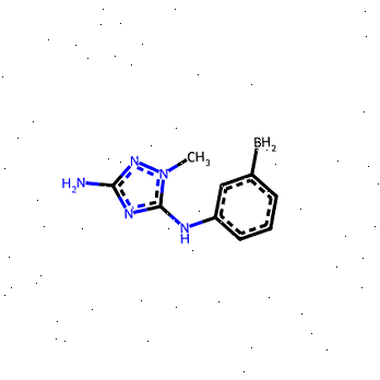 Bc1cccc(Nc2nc(N)nn2C)c1